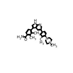 Cc1cc(-c2cnc3[nH]cc(-c4ccc(C(N)=O)c(C)c4C)c3c2)ccc1N1CCN(C)CC1